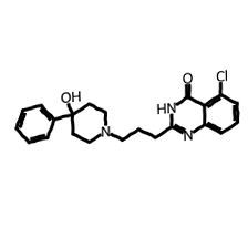 O=c1[nH]c(CCCN2CCC(O)(c3ccccc3)CC2)nc2cccc(Cl)c12